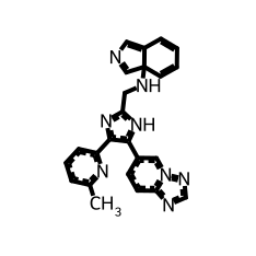 Cc1cccc(-c2nc(CNC34C=CC=CC3=CN=C4)[nH]c2-c2ccc3ncnn3c2)n1